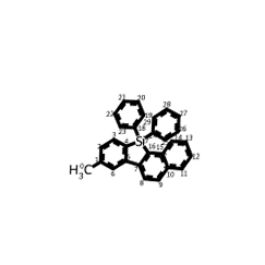 Cc1ccc2c(c1)-c1ccc3ccccc3c1[Si]2(c1ccccc1)c1ccccc1